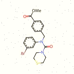 COC(=O)c1ccc(CN(C(=O)N2CCSCC2)c2cccc(Br)c2)cc1